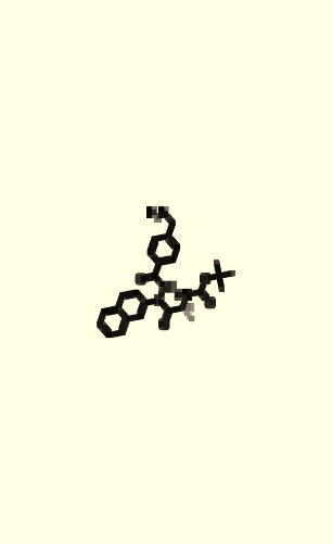 C[C@@H](NC(=O)OC(C)(C)C)C(=O)N(NC(=O)c1ccc(CN)cc1)c1ccc2ccccc2c1